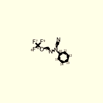 N#CN(N=COC(F)(F)F)c1ccccc1